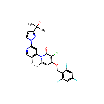 Cc1cnc(-n2ccc(C(C)(C)O)n2)cc1-n1c(C)cc(OCc2c(F)cc(F)cc2F)c(Cl)c1=O